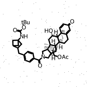 CC(=O)OCC(=O)[C@@]12CN(C(=O)c3ccc(CC4CC5(NC(=O)OC(C)(C)C)CC4C5)cc3)C[C@@H]1C[C@H]1[C@@H]3CCC4=CC(=O)C=C[C@]4(C)[C@H]3[C@@H](O)C[C@@]12C